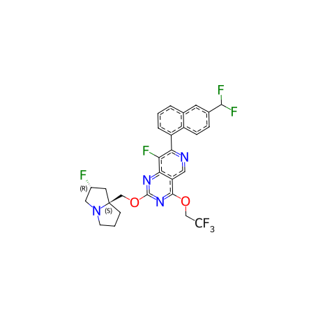 Fc1c(-c2cccc3cc(C(F)F)ccc23)ncc2c(OCC(F)(F)F)nc(OC[C@@]34CCCN3C[C@H](F)C4)nc12